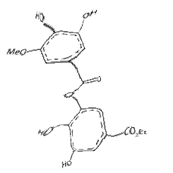 CCOC(=O)c1cc(O)c(O)c(OC(=O)c2cc(O)c(O)c(OC)c2)c1